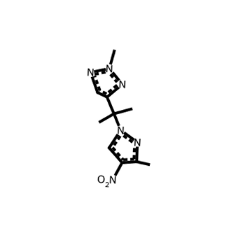 Cc1nn(C(C)(C)c2cnn(C)n2)cc1[N+](=O)[O-]